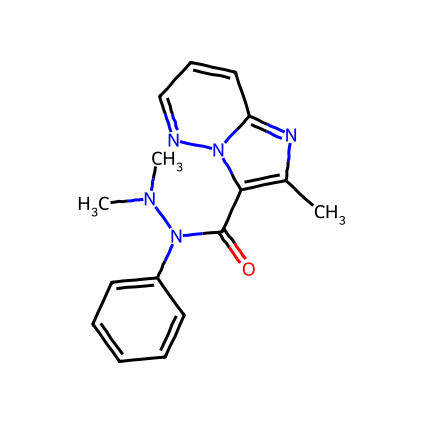 Cc1nc2cccnn2c1C(=O)N(c1ccccc1)N(C)C